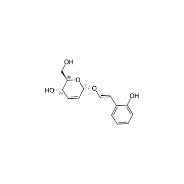 OC[C@H]1O[C@H](O/C=C/c2ccccc2O)C=C[C@@H]1O